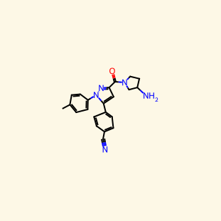 Cc1ccc(-n2nc(C(=O)N3CCC(N)C3)cc2-c2ccc(C#N)cc2)cc1